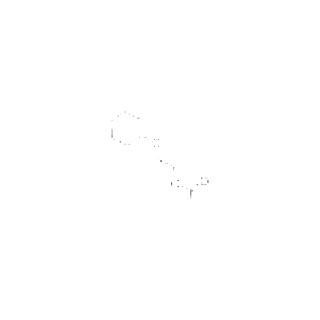 CC(=O)OCCOC1CCCCC1